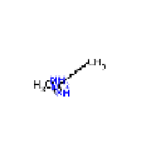 CCCCCCCCCCCCC1CNCCN1C(C)N